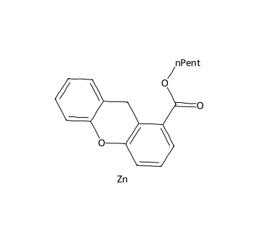 CCCCCOC(=O)c1cccc2c1Cc1ccccc1O2.[Zn]